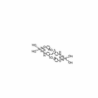 O=S(=O)(O)c1cc(Nc2nc(Oc3ccccc3)nc(N(CCO)CCO)n2)ccc1C=Cc1ccc(Nc2nc(Oc3ccccc3)nc(N(CCO)CCO)n2)cc1S(=O)(=O)O